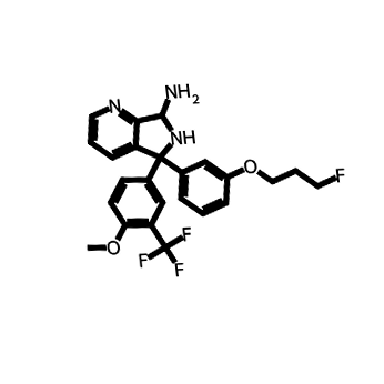 COc1ccc(C2(c3cccc(OCCCF)c3)NC(N)c3ncccc32)cc1C(F)(F)F